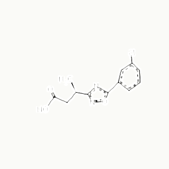 C[C@H](CC(=O)O)c1noc(-c2cccc(Cl)c2)n1